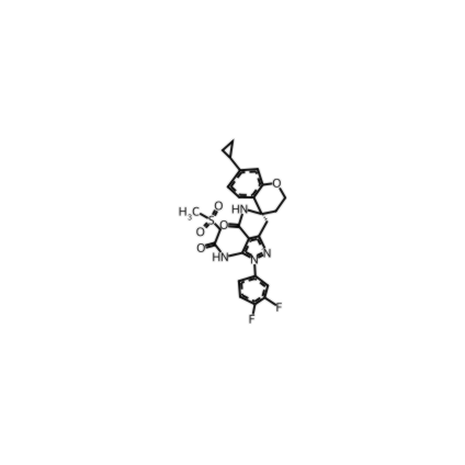 CS(=O)(=O)CC(=O)Nc1c2c(nn1-c1ccc(F)c(F)c1)C[C@]1(CCOc3cc(C4CC4)ccc31)NC2=O